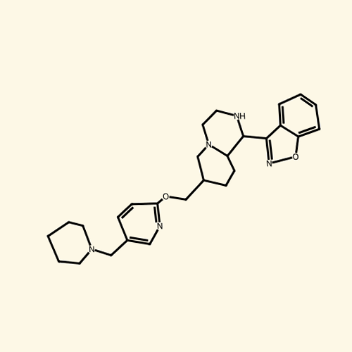 c1ccc2c(C3NCCN4CC(COc5ccc(CN6CCCCC6)cn5)CCC34)noc2c1